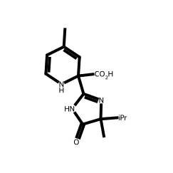 CC1=CC(C(=O)O)(C2=NC(C)(C(C)C)C(=O)N2)NC=C1